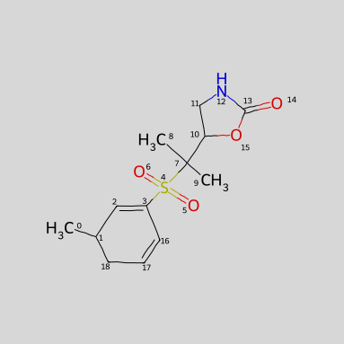 CC1C=C(S(=O)(=O)C(C)(C)C2CNC(=O)O2)C=CC1